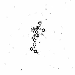 CCOP(=O)(Nc1ncnc2cc(N3CCN(Cc4ccccc4-c4ccc(Cl)cc4)CC3)ccc12)c1ccc(NC(CCN2CCOCC2)CSc2ccccc2)c(S(=O)(=O)C(F)(F)F)c1